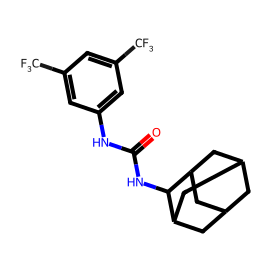 O=C(Nc1cc(C(F)(F)F)cc(C(F)(F)F)c1)NC1C2CC3CC(C2)CC1C3